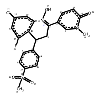 Cn1cc(/C(CC(c2ccc(S(C)(=O)=O)cc2)c2ccc(Cl)cc2F)=N\O)ccc1=O